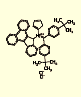 CC(C)(C)c1ccc([C](c2ccc(C(C)(C)C)cc2)=[Hf+2]([C]2=CC=CC2)[CH]2c3ccccc3-c3c2c2ccccc2c2ccccc32)cc1.[Cl-].[Cl-]